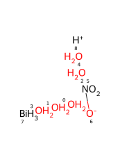 O.O.O.O.O.O=[N+]([O-])[O-].[BiH3].[H+]